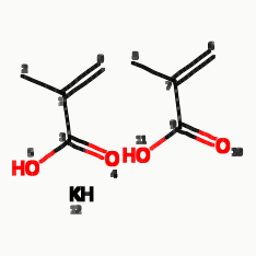 C=C(C)C(=O)O.C=C(C)C(=O)O.[KH]